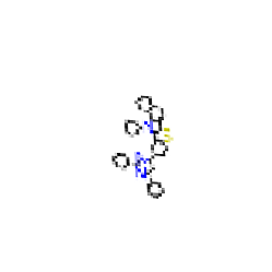 c1ccc(-c2cc(-c3ccc4sc5c6ccc7ccccc7c6n(-c6ccccc6)c5c4c3)nc(-c3ccccc3)n2)cc1